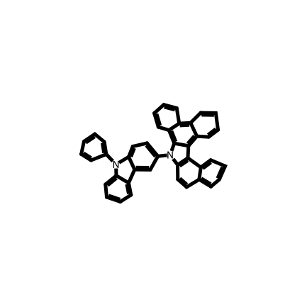 c1ccc(-n2c3ccccc3c3cc(-n4c5ccc6ccccc6c5c5c6ccccc6c6ccccc6c54)ccc32)cc1